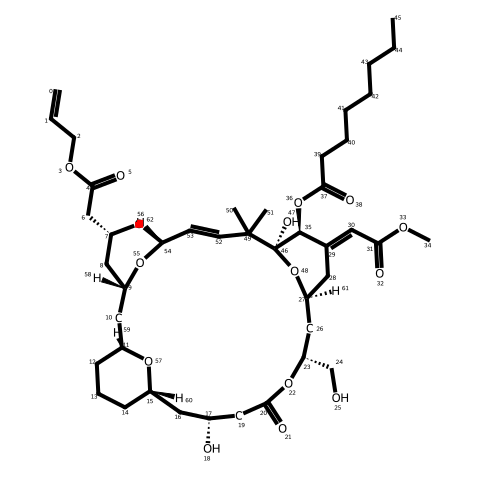 C=CCOC(=O)C[C@H]1C[C@H]2C[C@H]3CCC[C@@H](C[C@@H](O)CC(=O)O[C@@H](CO)C[C@@H]4C/C(=C\C(=O)OC)[C@H](OC(=O)CCCCCCC)[C@@](O)(O4)C(C)(C)/C=C/[C@H](O2)O1)O3